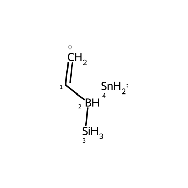 C=CB[SiH3].[SnH2]